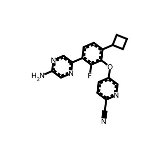 N#Cc1ccc(Oc2c(C3CCC3)ccc(-c3cnc(N)cn3)c2F)cn1